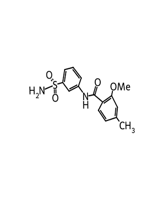 COc1cc(C)ccc1C(=O)Nc1cccc(S(N)(=O)=O)c1